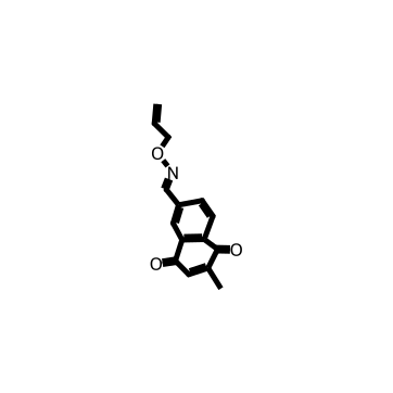 C=CCON=Cc1ccc2c(c1)C(=O)C=C(C)C2=O